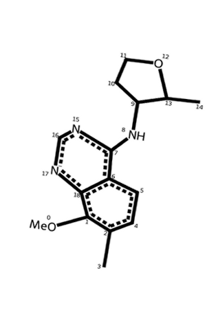 COc1c(C)ccc2c(NC3CCOC3C)ncnc12